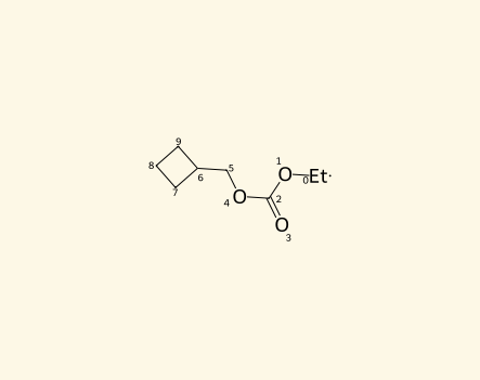 C[CH]OC(=O)OCC1CCC1